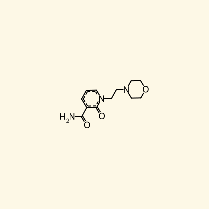 NC(=O)c1cccn(CCN2CCOCC2)c1=O